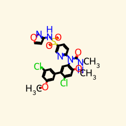 CNC(=O)N(c1ccc(S(=O)(=O)Nc2ccon2)cn1)c1cc(-c2cc(Cl)cc(OC)c2)c(Cl)cc1OC